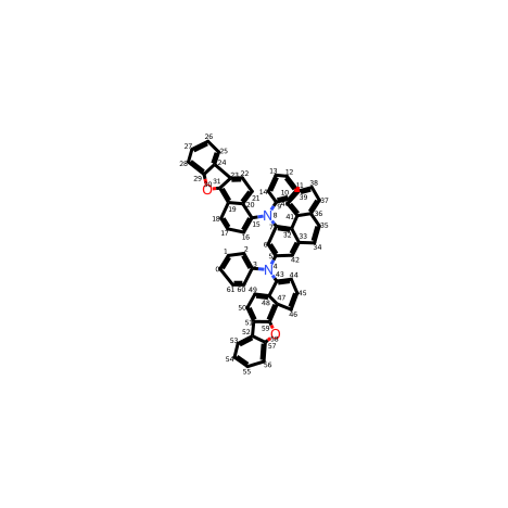 c1ccc(N(c2cc(N(c3ccccc3)c3cccc4c3ccc3c5ccccc5oc43)c3c(ccc4ccccc43)c2)c2cccc3c2ccc2c4ccccc4oc32)cc1